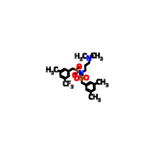 Cc1cc(C)cc(CS(=O)(=O)N(CCCN(C)C)S(=O)(=O)Cc2cc(C)cc(C(F)(F)F)c2)c1